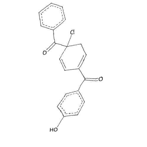 O=C(C1=CCC(Cl)(C(=O)c2ccccc2)C=C1)c1ccc(O)cc1